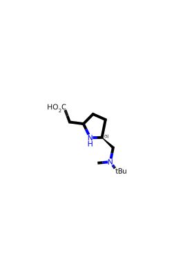 CN(C[C@@H]1CCC(CC(=O)O)N1)C(C)(C)C